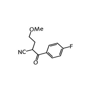 COCCC(C#N)C(=O)c1ccc(F)cc1